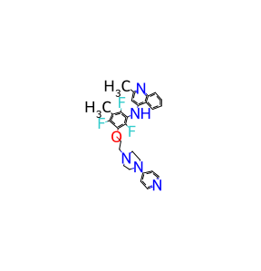 Cc1cc(Nc2c(F)c(C)c(F)c(OCCN3CCN(c4ccncc4)CC3)c2F)c2ccccc2n1